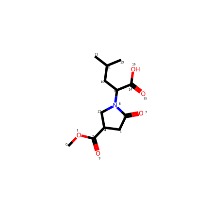 COC(=O)C1CC(=O)N(C(CC(C)C)C(=O)O)C1